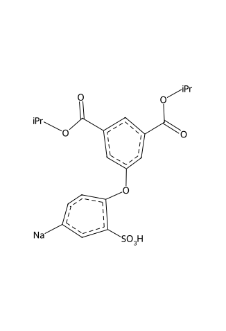 CC(C)OC(=O)c1cc(Oc2cc[c]([Na])cc2S(=O)(=O)O)cc(C(=O)OC(C)C)c1